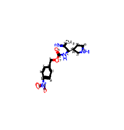 CC(=N)C(NC(=O)OCc1ccc([N+](=O)[O-])cc1)[C@@H]1CCNC1